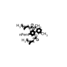 C=C(C)[C@@H]1CCC(C)=C[C@H]1c1c(OC(=O)SCC2CN2C)cc(CCCCC)cc1OC(=O)SCC1CN1C